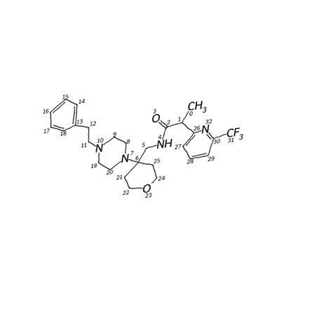 CC(C(=O)NCC1(N2CCN(CCc3ccccc3)CC2)CCOCC1)c1cccc(C(F)(F)F)n1